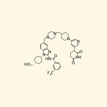 O=C1CCC(c2cncc(N3CCC(CN4CCN(Cc5ccc6c(c5)nc(NC(=O)c5cccc(C(F)(F)F)c5)n6[C@H]5CC[C@@H](CO)CC5)CC4)CC3)c2)C(=O)N1